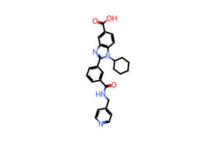 O=C(O)c1ccc2c(c1)nc(-c1cccc(C(=O)NCc3ccncc3)c1)n2C1CCCCC1